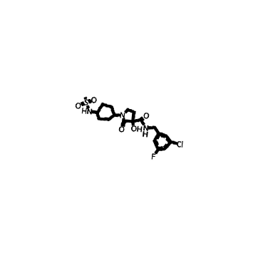 CS(=O)(=O)NC1CCC(N2CCC(O)(C(=O)NCc3cc(F)cc(Cl)c3)C2=O)CC1